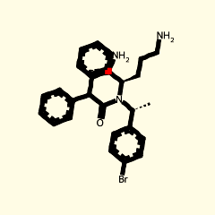 C[C@H](c1ccc(Br)cc1)N(C(=O)C(c1ccccc1)c1ccccc1)[C@H](CCCN)C(N)=O